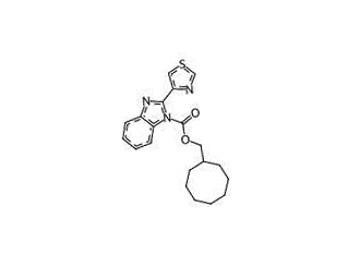 O=C(OCC1CCCCCCC1)n1c(-c2cscn2)nc2ccccc21